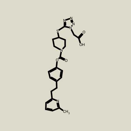 Cc1cccc(CCc2ccc(OC(=O)N3CCC(Sc4nnnn4CC(=O)O)CC3)cc2)n1